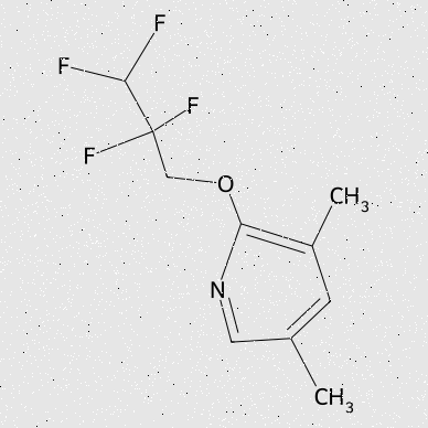 Cc1cnc(OCC(F)(F)C(F)F)c(C)c1